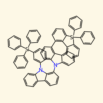 c1ccc([Si](c2ccccc2)(c2ccccc2)c2cccc(-n3c4ccccc4c4cccc(-n5c6ccccc6c6c(-c7cccc8c7-c7ccccc7[Si]8(c7ccccc7)c7ccccc7)cccc65)c43)c2)cc1